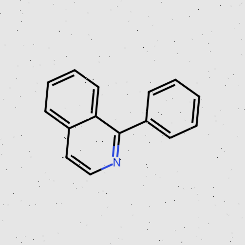 [c]1cnc(-c2ccccc2)c2ccccc12